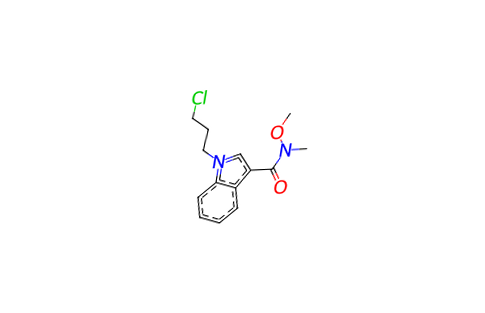 CON(C)C(=O)c1cn(CCCCl)c2ccccc12